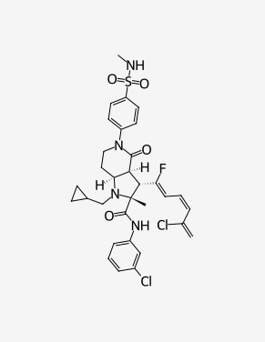 C=C(Cl)/C=C\C=C(/F)[C@H]1[C@@H]2C(=O)N(c3ccc(S(=O)(=O)NC)cc3)CC[C@@H]2N(CC2CC2)[C@@]1(C)C(=O)Nc1cccc(Cl)c1